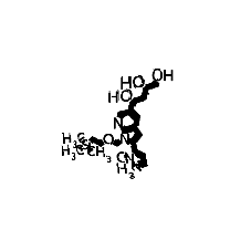 Cn1nccc1-c1cc2cc(C(O)CC(O)CO)cnc2n1COCC[Si](C)(C)C